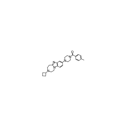 Cc1ccc(C(=O)N2CCN(c3ccc4c(c3)nc3n4CCN(C4CCC4)CC3)CC2)cc1